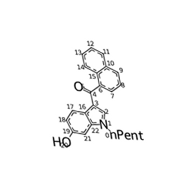 CCCCCn1cc(C(=O)c2cccc3ccccc23)c2ccc(O)cc21